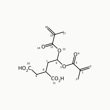 C=C(C)C(=O)OC(CC(CC(=O)O)C(=O)O)OC(=O)C(=C)C